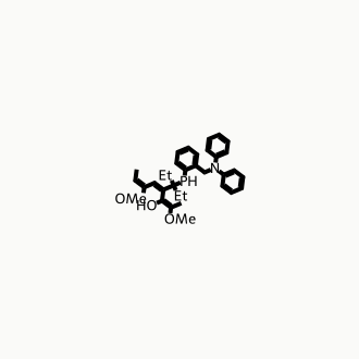 C\C=C(/C=C(\C(O)=C(/C)OC)C(CC)(CC)Pc1ccccc1CN(c1ccccc1)c1ccccc1)OC